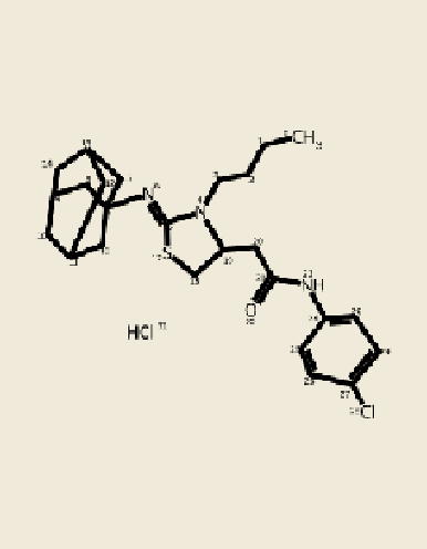 CCCCN1C(=NC23CC4CC(CC(C4)C2)C3)SCC1CC(=O)Nc1ccc(Cl)cc1.Cl